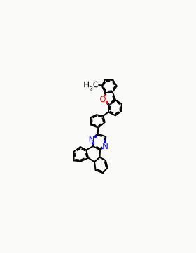 Cc1cccc2c1oc1c(-c3cccc(-c4cnc5c(n4)-c4ccccc4C4C=CC=CC54)c3)cccc12